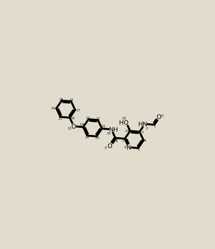 O=CNc1ccnc(C(=O)Nc2ccc(Oc3ccccc3)cc2)c1O